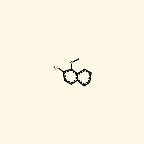 Cc1ccc2ccccc2c1OI